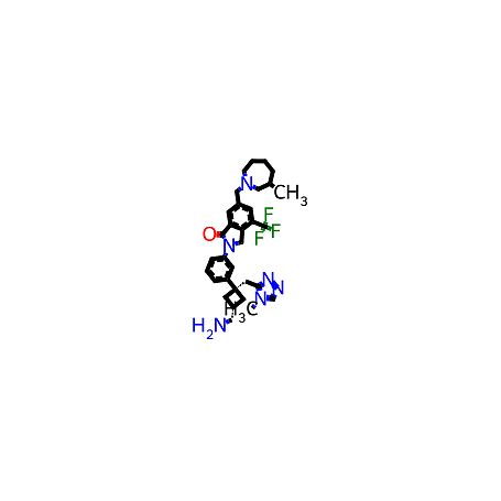 CC1CCCCN(Cc2cc3c(c(C(F)(F)F)c2)CN(c2cccc([C@]4(Cc5nncn5C)C[C@@H](CN)C4)c2)C3=O)C1